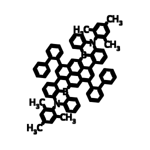 Cc1cc(C)c(N2c3ccccc3B3c4c(cccc42)-c2cc(-c4ccccc4-c4ccccc4)c4cc5c6c(cc(-c7ccccc7-c7ccccc7)c7cc3c2c4c76)-c2cccc3c2B5c2ccccc2N3c2c(C)cc(C)cc2C)c(C)c1